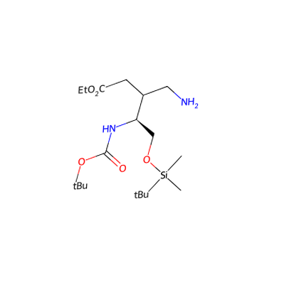 CCOC(=O)CC(CN)[C@@H](CO[Si](C)(C)C(C)(C)C)NC(=O)OC(C)(C)C